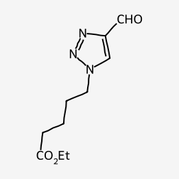 CCOC(=O)CCCCn1cc(C=O)nn1